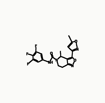 Cc1cc(-c2onc3c2C(C)N(C(=O)Nc2cc(F)c(F)c(F)c2)CC3)no1